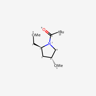 COC[C@@H]1C[C@@H](OC)CN1C(=O)C(C)(C)C